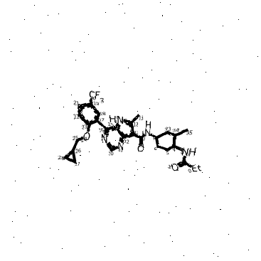 CCC(=O)NC1CCC(NC(=O)c2c(C)[nH]c3c(-c4cc(C(F)(F)F)ccc4OCC4CC4)ncnc23)CC1C